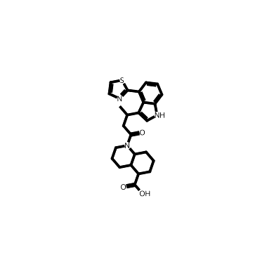 CC(CC(=O)N1CCCC2C(C(=O)O)CCCC21)c1c[nH]c2cccc(-c3nccs3)c12